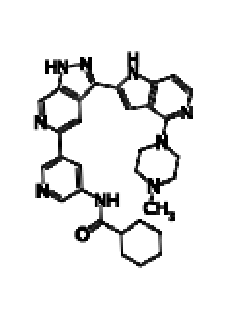 CN1CCN(c2nccc3[nH]c(-c4n[nH]c5cnc(-c6cncc(NC(=O)C7CCCCC7)c6)cc45)cc23)CC1